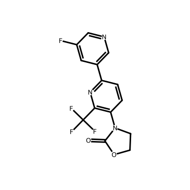 O=C1OCCN1c1ccc(-c2cncc(F)c2)nc1C(F)(F)F